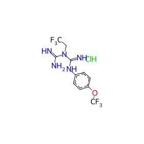 Cl.N=C(N)N(CC(F)(F)F)C(=N)Nc1ccc(OC(F)(F)F)cc1